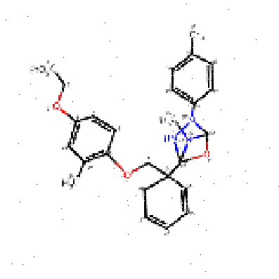 CCOC(=O)COc1ccc(OCC2(C34NN(c5ccc(C(F)(F)F)cc5)C(O3)N4C)C=CC=CC2)c(C)c1